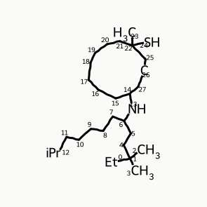 CCC(C)(C)CCC(CCCCCC(C)C)NC1CCCCCCCC(C)(S)CCC1